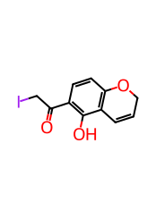 O=C(CI)c1ccc2c(c1O)C=CCO2